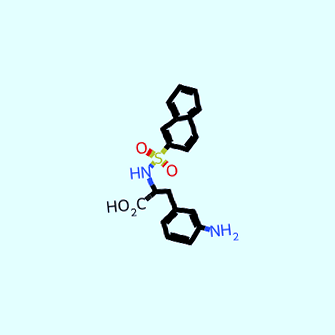 Nc1cccc(CC(NS(=O)(=O)c2ccc3ccccc3c2)C(=O)O)c1